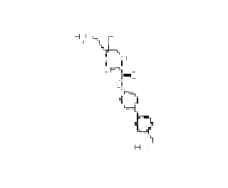 CCCC1(F)COC(C(=O)OC2CCC(c3ccc(CC)cc3)CC2)OC1